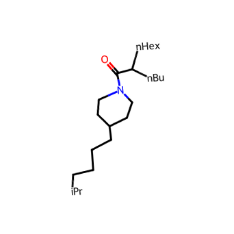 CCCCCCC(CCCC)C(=O)N1CCC(CCCCC(C)C)CC1